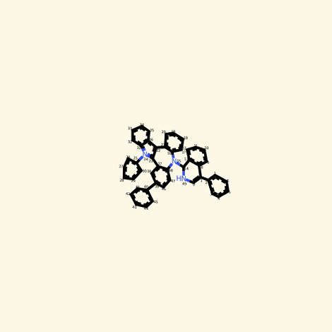 C1=C(c2ccccc2)c2ccccc2C(N2c3ccccc3-c3c(n(-c4ccccc4)c4ccccc34)-c3cc(-c4ccccc4)ccc32)N1